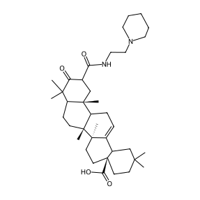 CC1(C)CC[C@]2(C(=O)O)CC[C@]3(C)C(=CCC4[C@@]5(C)CC(C(=O)NCCN6CCCCC6)C(=O)C(C)(C)C5CC[C@]43C)C2C1